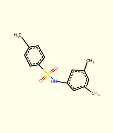 Cc1ccc(S(=O)(=O)Nc2cc(C)cc(C)c2)cc1